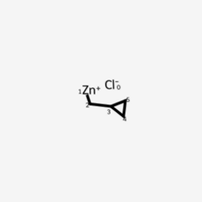 [Cl-].[Zn+][CH2]C1CC1